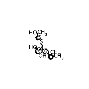 Cc1cccc(N2CCN(CCCSc3ccc(C(C)O)s3)CC2)c1C.O=C(O)/C=C\C(=O)O